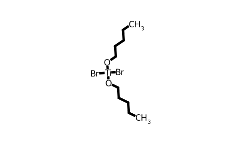 CCCCC[O][Ti]([Br])([Br])[O]CCCCC